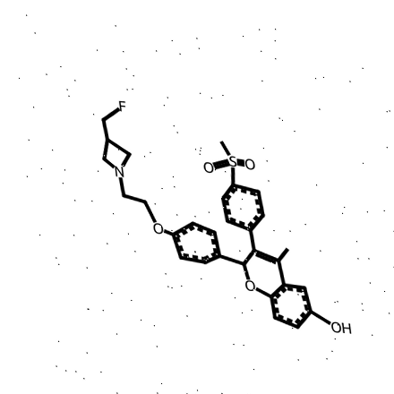 CC1=C(c2ccc(S(C)(=O)=O)cc2)C(c2ccc(OCCN3CC(CF)C3)cc2)Oc2ccc(O)cc21